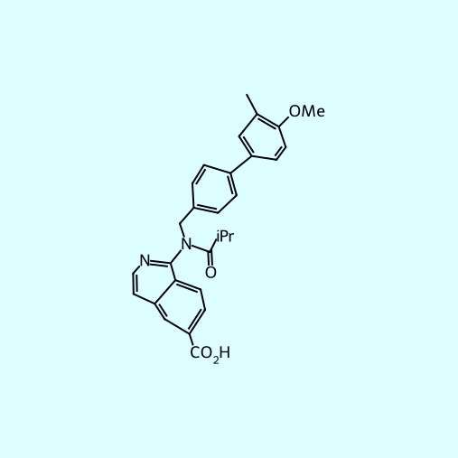 COc1ccc(-c2ccc(CN(C(=O)C(C)C)c3nccc4cc(C(=O)O)ccc34)cc2)cc1C